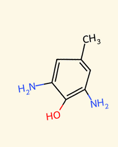 Cc1cc(N)c(O)c(N)c1